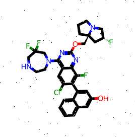 Oc1cc(-c2c(Cl)cc3c(N4CCNCC(F)(F)C4)nc(OC[C@@]45CCCN4C[C@H](F)C5)nc3c2F)c2ccccc2c1